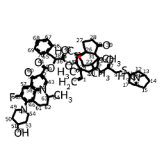 C=C[C@@]1(C)C[C@H](CC(=O)CSC2CC3CCC(C2)N3C)[C@@]2(C)C(C)CCC3(CCC(=O)C32)[C@H](C)[C@H]1OC(=O)C(OC(=O)c1cn2c3c(c(N4CCC(O)CC4)c(F)cc3c1=O)CCC2C)c1ccccc1